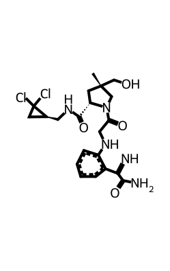 C[C@]1(CO)C[C@@H](C(=O)NC[C@H]2CC2(Cl)Cl)N(C(=O)CNc2ccccc2C(=N)C(N)=O)C1